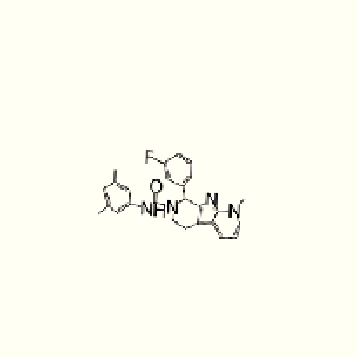 Cc1cc(C)cc(NC(=O)N2CCc3c4cccn(C)c-4nc3C2c2cccc(F)c2)c1